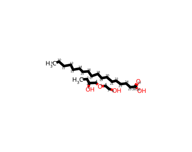 CCC(O)COCCO.CCCCCCCCCCCCCCCCCC(=O)O